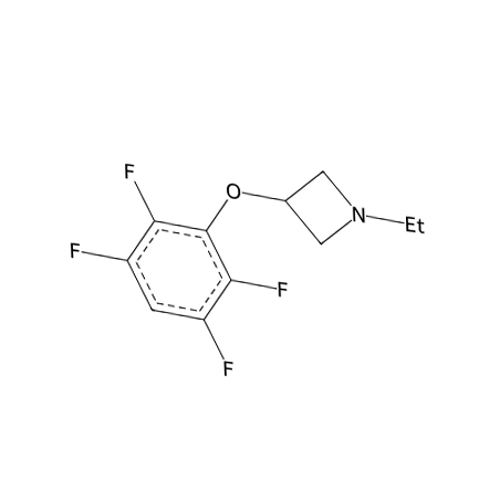 CCN1CC(Oc2c(F)c(F)cc(F)c2F)C1